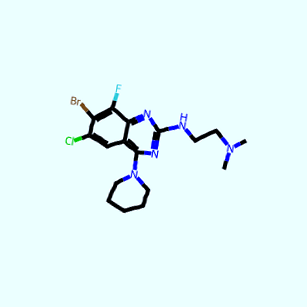 CN(C)CCNc1nc(N2CCCCC2)c2cc(Cl)c(Br)c(F)c2n1